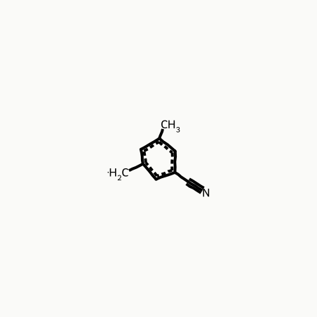 [CH2]c1cc(C)cc(C#N)c1